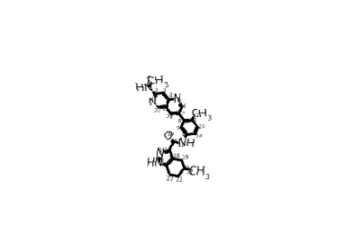 CNc1cc2ncc(-c3cc(NC(=O)c4n[nH]c5c4CC(C)CC5)ccc3C)cc2cn1